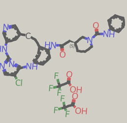 O=C(C[C@@H]1CCCN(C(=O)Nc2ccccc2)C1)Nc1ccc2cc1CCc1cncc(c1)Nc1ncc(Cl)c(n1)N2.O=C(O)C(F)(F)F.O=C(O)C(F)(F)F